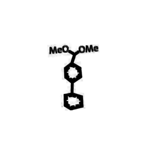 COC(OC)c1ccc(-c2ccccc2)cc1